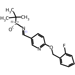 CC(C)(C)[S@@+]([O-])/N=C/c1ccc(OCc2ccccc2F)nc1